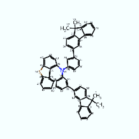 CC1(C)c2ccccc2-c2cc(-c3cccc(N(c4cccc(-c5ccc6c(c5)-c5ccccc5C6(C)C)c4)c4cccc5sc6ccccc6c45)c3)ccc21